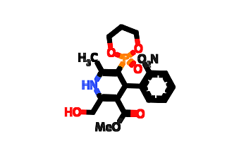 COC(=O)C1=C(CO)NC(C)=C(P2(=O)OCCCO2)C1c1ccccc1[N+](=O)[O-]